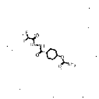 NC(=O)O[C@H]1CC[C@H](C(=O)NNC(=O)C(F)F)CC1